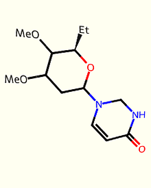 CC[C@H]1OC(N2C=CC(=O)NC2)CC(OC)C1OC